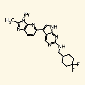 Cc1nc2ccc(-c3c[nH]c4nc(NCC5CCC(F)(F)CC5)ncc34)nc2n1C(C)C